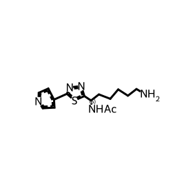 CC(=O)N[C@@H](CCCCCN)c1nnc(-c2ccncc2)s1